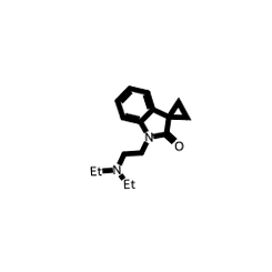 CCN(CC)CCN1C(=O)C2(CC2)c2ccccc21